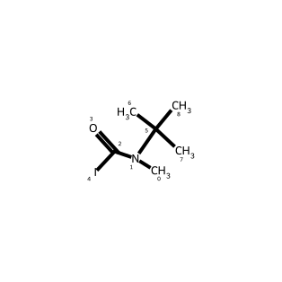 CN(C(=O)I)C(C)(C)C